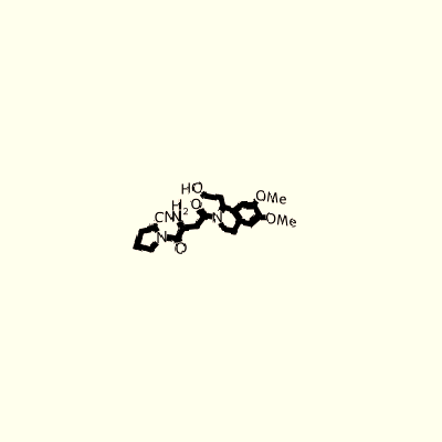 COc1cc2c(cc1OC)C(CCO)N(C(=O)CC(N)C(=O)N1CCC[C@H]1C#N)CC2